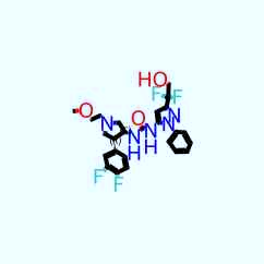 COCCN1C[C@@H](NC(=O)Nc2cc(C(F)(F)CO)nn2-c2ccccc2)[C@H](c2ccc(F)c(F)c2)C1